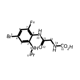 CC(C)Nc1cc(Br)cc(F)c1NC(=O)CNC(=O)O